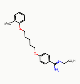 COc1ccccc1OCCCCCOc1ccc(C(N)=NCS(=O)(=O)O)cc1